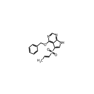 CC=CS(=O)(=O)c1c[nH]c2ncnc(OCc3ccccc3)c12